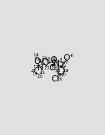 COCc1cn(S(=O)(=O)c2ccc(OC)c(N3CCCCC3)c2)c2cc(Cl)ccc12